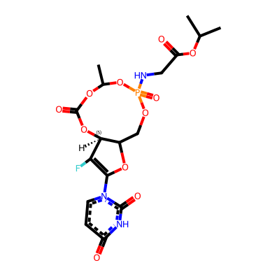 CC(C)OC(=O)CNP1(=O)OCC2OC(n3ccc(=O)[nH]c3=O)=C(F)[C@H]2OC(=O)OC(C)O1